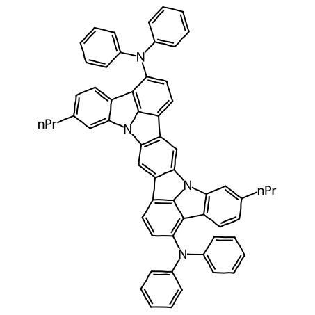 CCCc1ccc2c3c(N(c4ccccc4)c4ccccc4)ccc4c5cc6c(cc5n(c2c1)c43)c1ccc(N(c2ccccc2)c2ccccc2)c2c3ccc(CCC)cc3n6c12